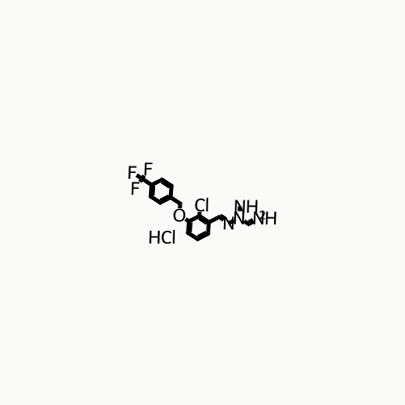 Cl.N=CN(N)N=Cc1cccc(OCc2ccc(C(F)(F)F)cc2)c1Cl